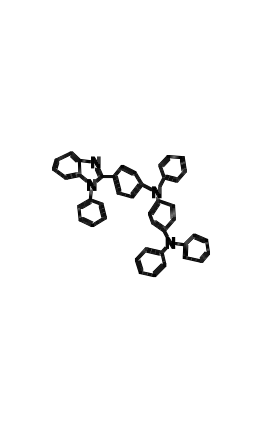 c1ccc(N(c2ccccc2)c2ccc(N(c3ccccc3)c3ccc(-c4nc5ccccc5n4-c4ccccc4)cc3)cc2)cc1